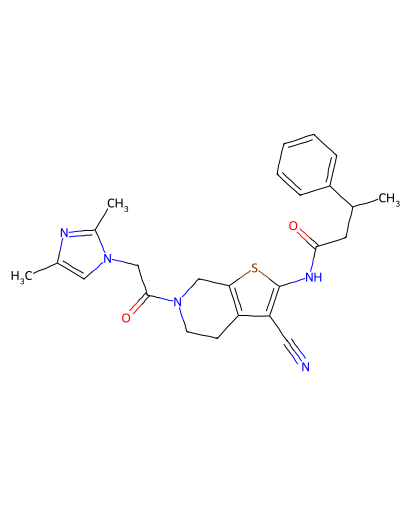 Cc1cn(CC(=O)N2CCc3c(sc(NC(=O)CC(C)c4ccccc4)c3C#N)C2)c(C)n1